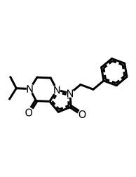 CC(C)N1CCn2c(cc(=O)n2CCc2ccccc2)C1=O